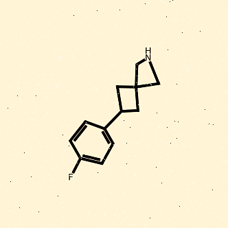 Fc1ccc(C2CC3(CNC3)C2)cc1